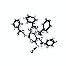 O=C(OC[C@H]1O[C@@H](N=C=S)[C@H](OC(=O)c2ccccc2)[C@@H](OC(=O)c2ccccc2)[C@@H]1OC(=O)c1ccccc1)c1ccccc1